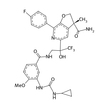 COc1ccc(C(=O)NCC(O)(c2cc3c(c(-c4ccc(F)cc4)n2)OC[C@]3(C)C(N)=O)C(F)(F)F)cc1NC(=O)NC1CC1